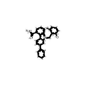 NC(=O)c1cccc2c1c1[c]cc(-c3ccccc3)cc1n2Cc1c(Cl)cccc1Cl